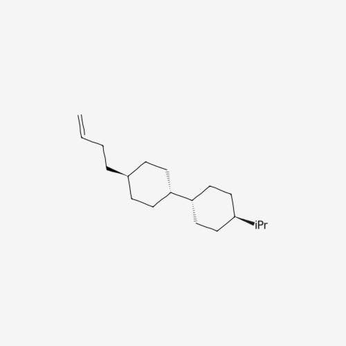 C=CCC[C@H]1CC[C@H]([C@H]2CC[C@H](C(C)C)CC2)CC1